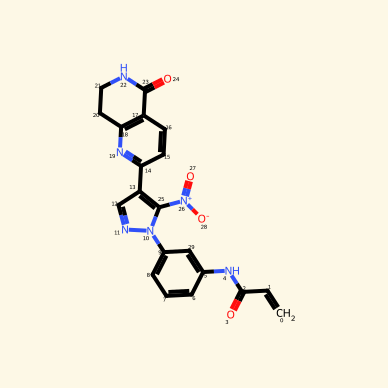 C=CC(=O)Nc1cccc(-n2ncc(-c3ccc4c(n3)CCNC4=O)c2[N+](=O)[O-])c1